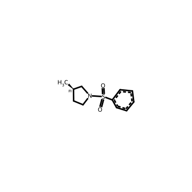 C[C@@H]1CCN(S(=O)(=O)c2ccccc2)C1